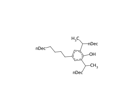 CCCCCCCCCCCCCCc1cc(C(C)CCCCCCCCCC)c(O)c(C(C)CCCCCCCCCC)c1